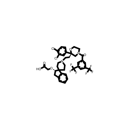 O=C(O)CO[C@H]1Cc2ccccc2C12CCN(CC[C@]1(c3ccc(Cl)c(Cl)c3)CN(C(=O)c3cc(C(F)(F)F)cc(C(F)(F)F)c3)CCO1)CC2